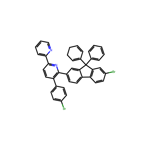 Brc1ccc(-c2ccc(-c3ccccn3)nc2-c2ccc3c(c2)C(C2=CCCC=C2)(c2ccccc2)c2cc(Br)ccc2-3)cc1